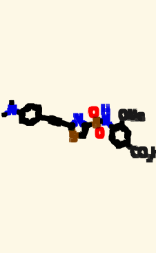 COc1cc(C(=O)O)ccc1NS(=O)(=O)c1csc(C#Cc2ccc(N(C)C)cc2)n1